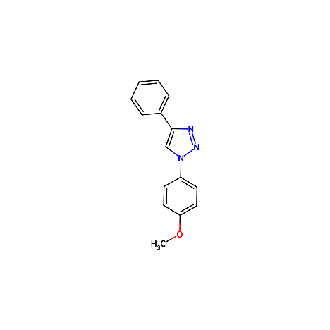 COc1ccc(-n2cc(-c3ccccc3)nn2)cc1